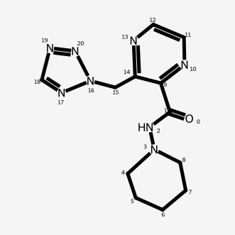 O=C(NN1CCCCC1)c1nccnc1Cn1ncnn1